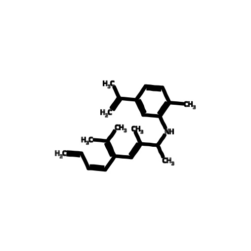 C=C/C=C\C(/C=C(\C)C(C)Nc1cc(C(=C)C)ccc1C)=C(C)C